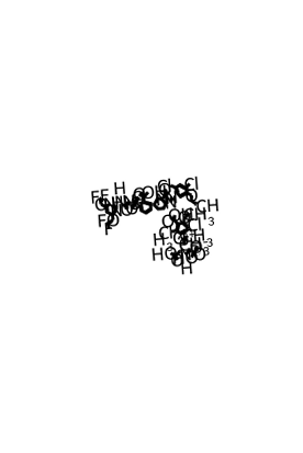 C#CCOc1cc(-n2nc3n(c2=O)CCCC3)c(Cl)cc1Cl.COc1c(Cl)ccc(Cl)c1C(=O)O.C[S+](C)C.O=C(Nc1nc(OC(F)F)cc(OC(F)F)n1)NS(=O)(=O)c1ccccc1C(=O)O.O=C(O)CNCP(=O)([O-])O